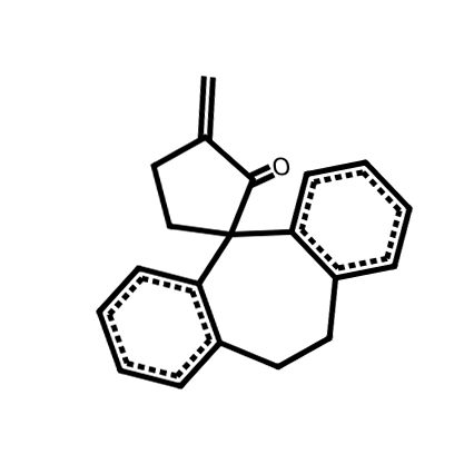 C=C1CCC2(C1=O)c1ccccc1CCc1ccccc12